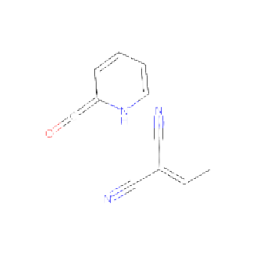 CC=C(C#N)C#N.O=C=C1C=CC=CN1